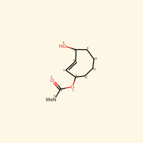 CNC(=O)OC1/C=C/C(O)CCCC1